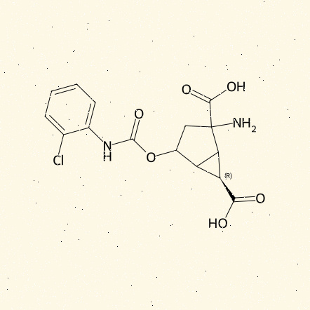 NC1(C(=O)O)CC(OC(=O)Nc2ccccc2Cl)C2C1[C@H]2C(=O)O